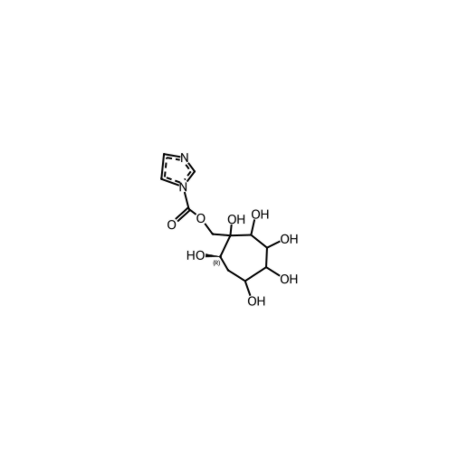 O=C(OCC1(O)C(O)C(O)C(O)C(O)C[C@H]1O)n1ccnc1